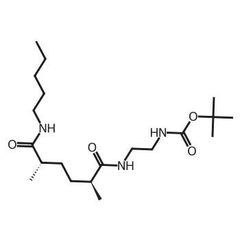 CCCCCNC(=O)[C@@H](C)CC[C@H](C)C(=O)NCCNC(=O)OC(C)(C)C